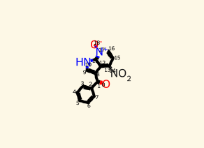 O=C(c1ccccc1)c1c[nH]c2c1c([N+](=O)[O-])cc[n+]2[O-]